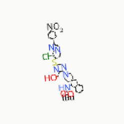 CC(C)(C)OC(=O)N[C@@H]1c2ccccc2CC12CCN(c1ncc(Sc3ccn4cc(-c5ccc([N+](=O)[O-])cc5)nc4c3Cl)nc1CO)CC2